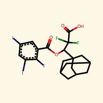 O=C(OC(C12CC3CC(CC(C3)C1)C2)C(F)(F)C(=O)O)c1cc(I)cc(I)c1I